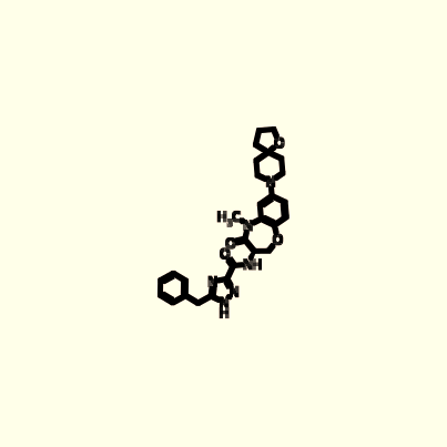 CN1C(=O)[C@H](NC(=O)c2n[nH]c(Cc3ccccc3)n2)COc2ccc(N3CCC4(CCCO4)CC3)cc21